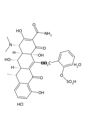 C[C@H]1c2cccc(O)c2C(=O)C2=C(O)[C@]3(O)C(=O)C(C(N)=O)=C(O)[C@@H](N(C)C)[C@@H]3[C@@H](O)[C@@H]21.Cl.O.O=C(O)c1ccccc1OS(=O)(=O)O